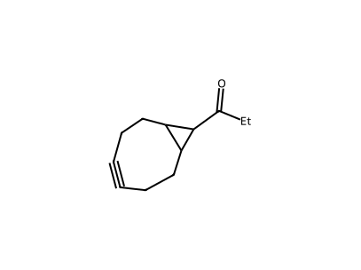 CCC(=O)C1C2CCC#CCCC21